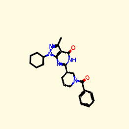 Cc1nn(C2CCCCC2)c2nc(C3CCCN(C(=O)c4ccccc4)C3)[nH]c(=O)c12